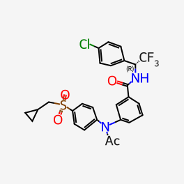 CC(=O)N(c1ccc(S(=O)(=O)CC2CC2)cc1)c1cccc(C(=O)N[C@H](c2ccc(Cl)cc2)C(F)(F)F)c1